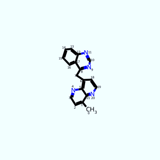 Cc1ccnc2c(Cc3ncnc4ccccc34)ccnc12